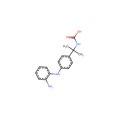 CC(C)(NC(=O)O)c1ccc(Nc2ccccc2N)cc1